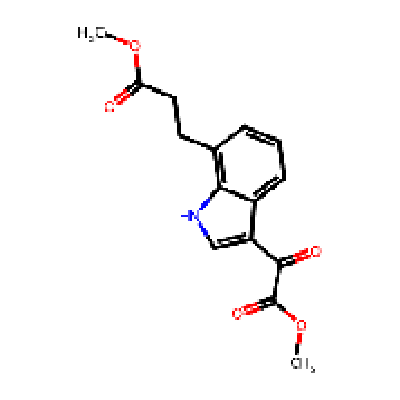 COC(=O)CCc1cccc2c(C(=O)C(=O)OC)c[nH]c12